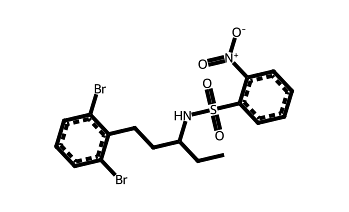 CCC(CCc1c(Br)cccc1Br)NS(=O)(=O)c1ccccc1[N+](=O)[O-]